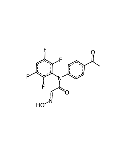 CC(=O)c1ccc(N(C(=O)C=NO)c2c(F)c(F)cc(F)c2F)cc1